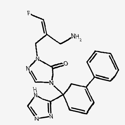 NC/C(=C/F)Cn1ncn(C2(c3nnc[nH]3)C=CC=C(c3ccccc3)C2)c1=O